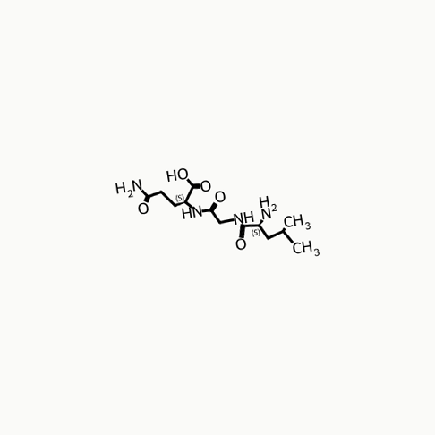 CC(C)C[C@H](N)C(=O)NCC(=O)N[C@@H](CCC(N)=O)C(=O)O